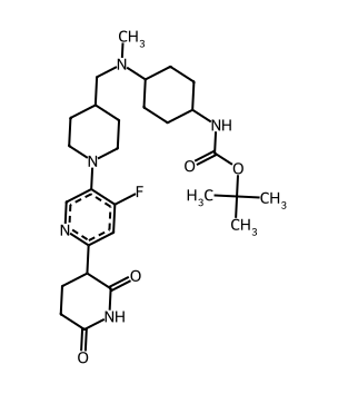 CN(CC1CCN(c2cnc(C3CCC(=O)NC3=O)cc2F)CC1)C1CCC(NC(=O)OC(C)(C)C)CC1